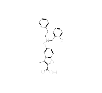 Cc1c(C(=O)O)oc2ccc(SN(CCc3ccccc3)Cc3ccccc3F)cc12